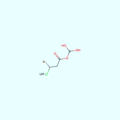 O=C(CC(Cl)Br)OB(O)O.[LiH]